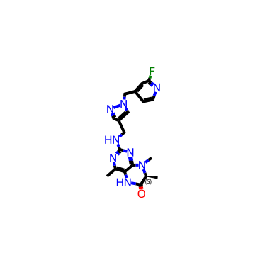 Cc1nc(NCc2cnn(Cc3ccnc(F)c3)c2)nc2c1NC(=O)[C@H](C)N2C